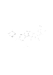 COc1cc(Cn2cccn2)cc2onc(NS(=O)(=O)C3C[C@H]4CC[C@@H]3C4)c12